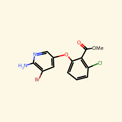 COC(=O)c1c(Cl)cccc1Oc1cnc(N)c(Br)c1